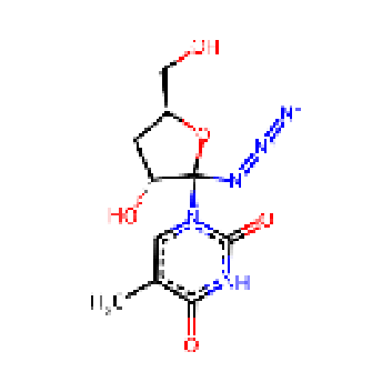 Cc1cn([C@]2(N=[N+]=[N-])O[C@H](CO)C[C@H]2O)c(=O)[nH]c1=O